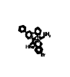 NCC(=O)N1Cc2cc(Br)ccc2[C@@]2(CNCC2C(=O)N2CC[C@@H](c3ccccc3)C[C@H]2C2CCCCC2)C1